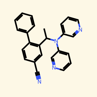 CC(c1cc(C#N)ccc1-c1ccccc1)N(c1cccnc1)c1cccnc1